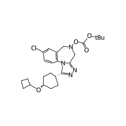 CC(C)(C)OC(=O)ON1Cc2cc(Cl)ccc2-n2c(nnc2[C@H]2CC[C@H](OC3CCC3)CC2)C1